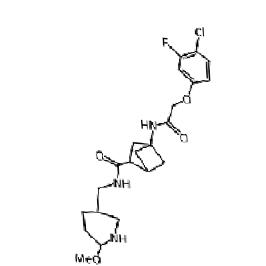 COC1CCC(CNC(=O)C2CC3(NC(=O)COc4ccc(Cl)c(F)c4)CC2C3)CN1